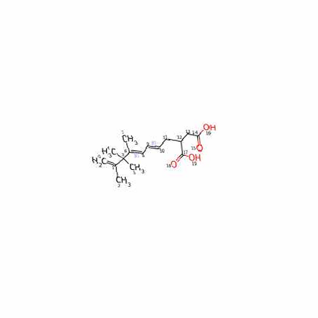 C=C(C)C(C)(C)/C(C)=C/C=C/CC(CC(=O)O)C(=O)O